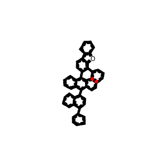 c1ccc(-c2ccc(-c3c4ccccc4c(-c4ccc5c(oc6ccccc65)c4-c4ccccc4)c4ccccc34)c3ccccc23)cc1